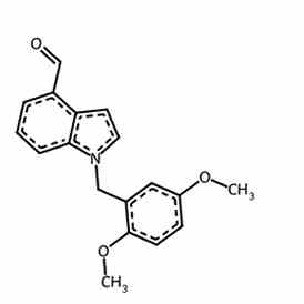 COc1ccc(OC)c(Cn2ccc3c(C=O)cccc32)c1